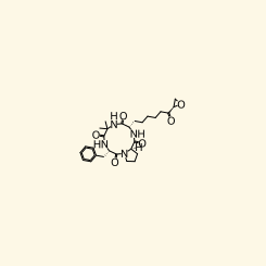 CC1(C)NC(=O)[C@H](CCCCCC(=O)[C@H]2CO2)NC(=O)[C@H]2CCCN2C(=O)[C@H](Cc2ccccc2)NC1=O